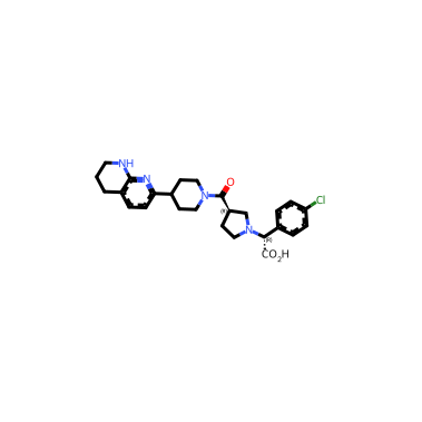 O=C(O)[C@@H](c1ccc(Cl)cc1)N1CC[C@@H](C(=O)N2CCC(c3ccc4c(n3)NCCC4)CC2)C1